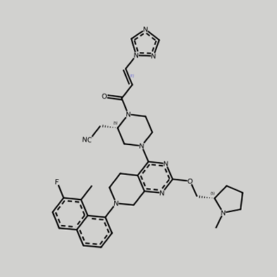 Cc1c(F)ccc2cccc(N3CCc4c(nc(OC[C@@H]5CCCN5C)nc4N4CCN(C(=O)/C=C/n5cncn5)[C@@H](CC#N)C4)C3)c12